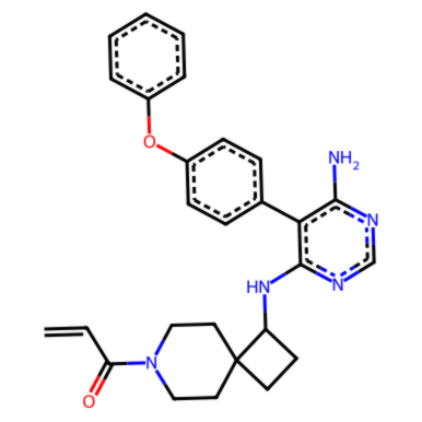 C=CC(=O)N1CCC2(CCC2Nc2ncnc(N)c2-c2ccc(Oc3ccccc3)cc2)CC1